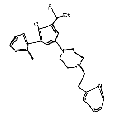 CCC(F)c1cc(N2CCN(CCc3ccccn3)CC2)cc(-c2ccccc2C)c1Cl